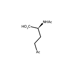 CC(=O)CC[C@H](NC(C)=O)C(=O)O